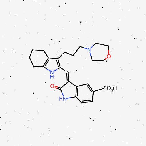 O=C1Nc2ccc(S(=O)(=O)O)cc2/C1=C/c1[nH]c2c(c1CCCN1CCOCC1)CCCC2